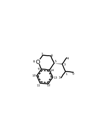 CC(C)C(C)[C@H]1CCOc2ccccc21